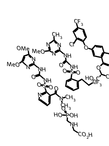 COc1cc(OC)nc(NC(=O)NS(=O)(=O)c2ncccc2C(=O)N(C)C)n1.COc1nc(C)nc(NC(=O)NS(=O)(=O)c2ccccc2CCC(F)(F)F)n1.C[C@H](OC(=O)c1cc(Oc2ccc(C(F)(F)F)cc2Cl)ccc1Cl)C(=O)O.O=C(O)CNCP(=O)(O)O